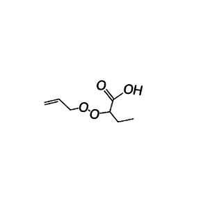 C=CCOOC(CC)C(=O)O